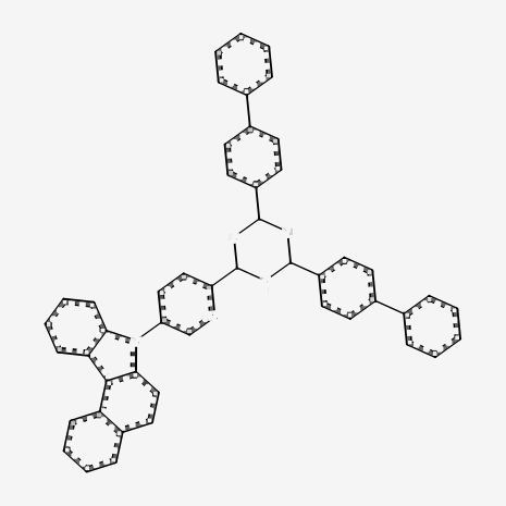 c1ccc(-c2ccc(C3NC(c4ccc(-c5ccccc5)cc4)NC(c4ccc(-n5c6ccccc6c6c7ccccc7ccc65)cn4)N3)cc2)cc1